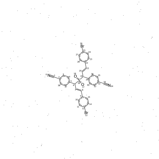 N#Cc1ccc(C(C=Cc2ccc(Br)cc2)S(=O)(=O)C(C=Cc2ccc(Br)cc2)c2ccc(C#N)cc2)cc1